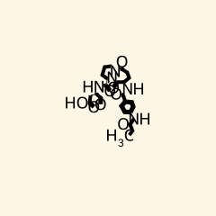 CCC(=O)Nc1ccc(C(=O)N[C@H]2CCC(=O)N3CCC[C@@H](C(=O)N[C@H](C=O)CC(=O)O)N3C2=O)cc1